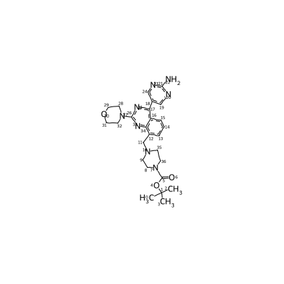 CC(C)(C)OC(=O)N1CCN(Cc2cccc3c(-c4cnc(N)nc4)nc(N4CCOCC4)nc23)CC1